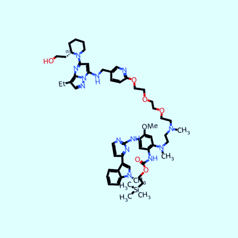 CCc1cnn2c(NCc3ccc(OCCOCCOCCN(C)CCN(C)c4cc(OC)c(Nc5nccc(-c6cn(C)c7ccccc67)n5)cc4NC(=O)OCC[Si](C)(C)C)nc3)cc(N3CCCC[C@H]3CCO)nc12